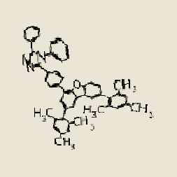 Cc1cc(C)c(-c2ccc3oc4c(-c5ccc(-c6nnc(-c7ccccc7)n6-c6ccccc6)cc5)cc(-c5c(C)cc(C)cc5C)cc4c3c2)c(C)c1